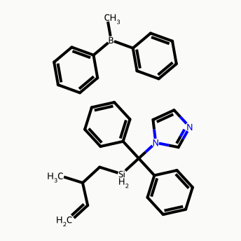 C=CC(C)C[SiH2]C(c1ccccc1)(c1ccccc1)n1ccnc1.CB(c1ccccc1)c1ccccc1